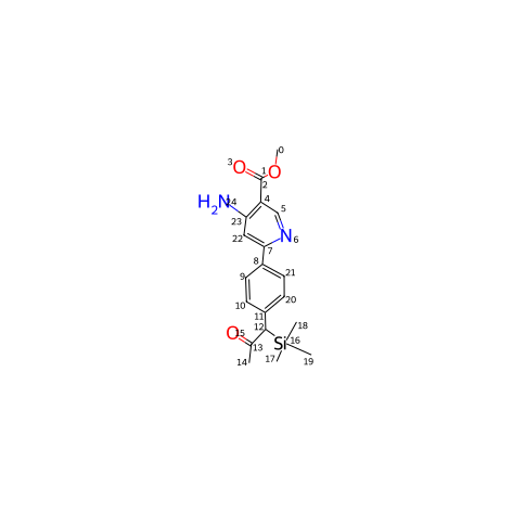 COC(=O)c1cnc(-c2ccc(C(C(C)=O)[Si](C)(C)C)cc2)cc1N